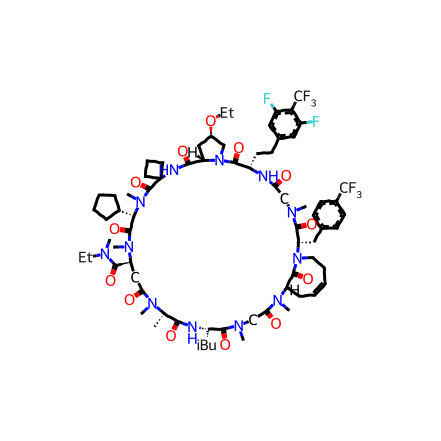 CCO[C@@H]1C[C@H]2C(=O)NC3(CCC3)C(=O)N(C)[C@@H](C3CCCC3)C(=O)N(C)[C@H](C(=O)N(C)CC)CC(=O)N(C)[C@@H](C)C(=O)N[C@@H]([C@@H](C)CC)C(=O)N(C)CC(=O)N(C)[C@H]3C/C=C\CCN(C3=O)[C@@H](Cc3ccc(C(F)(F)F)cc3)C(=O)N(C)CC(=O)N[C@@H](CCc3cc(F)c(C(F)(F)F)c(F)c3)C(=O)N2C1